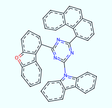 c1ccc2c(c1)ccc1cccc(-c3nc(-c4cccc5oc6ccccc6c45)nc(-n4c5ccccc5c5ccccc54)n3)c12